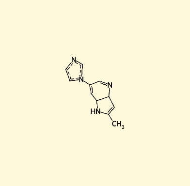 CC1=CC2N=CC(n3ccnc3)=CC2N1